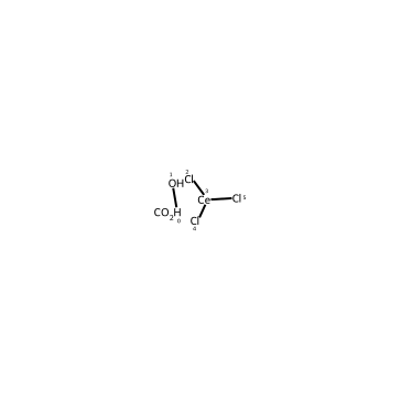 O=C(O)O.[Cl][Ce]([Cl])[Cl]